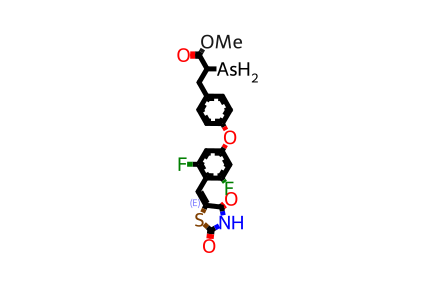 COC(=O)C([AsH2])Cc1ccc(Oc2cc(F)c(/C=C3/SC(=O)NC3=O)c(F)c2)cc1